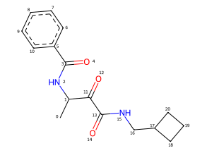 CC(NC(=O)c1ccccc1)C(=O)C(=O)NCC1CCC1